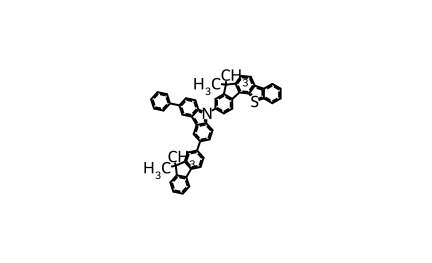 CC1(C)c2ccccc2-c2ccc(-c3ccc4c(c3)c3cc(-c5ccccc5)ccc3n4-c3ccc4c(c3)C(C)(C)c3ccc5c(sc6ccccc65)c3-4)cc21